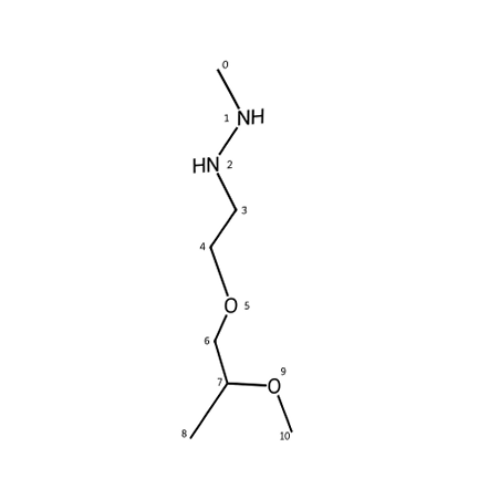 CNNCCOCC(C)OC